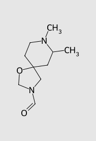 CC1CC2(CCN1C)CN(C=O)CO2